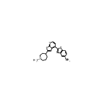 CN1CCCC(c2cc3c(-c4nc5cc(N)ccc5s4)ccnc3s2)CC1